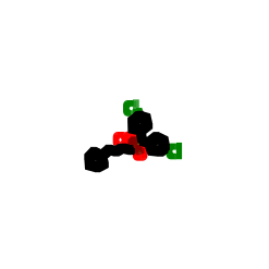 O=C(CCc1ccccc1)CS(=O)(=O)C(c1ccc(Cl)cc1)c1ccc(Cl)cc1